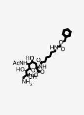 COC(=O)C1(NC(=O)CCCCCNC(=O)OCc2ccccc2)CC(O)C(NC(C)=O)C([C@@H](O)C(O)CN)O1